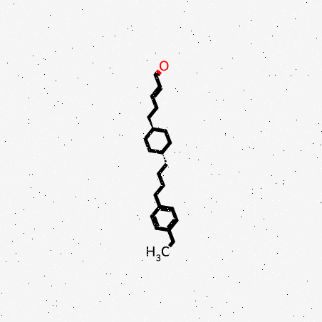 CCc1ccc(CCCC[C@H]2CC[C@H](CC/C=C/C=O)CC2)cc1